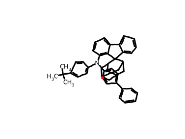 CC(C)(C)c1ccc(N(c2ccc(-c3ccccc3)cc2)c2cccc3c2C2(c4ccccc4-3)C3CC4CC(C3)CC2C4)cc1